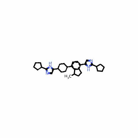 CC1CCc2c(-c3cnc(C4CCCC4)[nH]3)ccc(C3CCC(c4cnc(C5CCCC5)[nH]4)CC3)c21